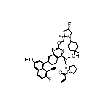 C#Cc1c(F)ccc2cc(O)cc(C3=Cc4nc(OC[C@]5(C)C[C@@H](F)CN5C5CCC(C)(O)CC5)nc(N(C)C[C@@H]5CCCN5C(=O)C=C)c4CC3)c12